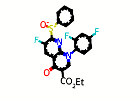 CCOC(=O)c1cn(-c2ccc(F)cc2F)c2nc([S+]([O-])c3ccccc3)c(F)cc2c1=O